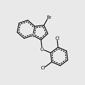 Clc1cccc(Cl)c1Oc1cc(Br)c2ccccn12